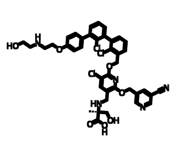 C[C@@](CO)(NCc1cc(Cl)c(OCc2cccc(-c3cccc(-c4ccc(OCCNCCO)cc4)c3Cl)c2Cl)nc1OCc1cncc(C#N)c1)C(=O)O